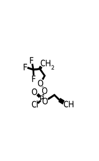 C#CCOP(=O)(Cl)OOCC(=C)C(F)(F)F